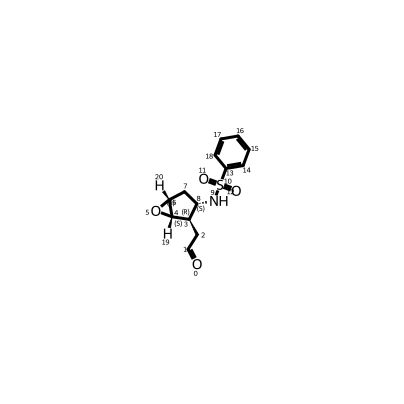 O=CC[C@H]1[C@@H]2O[C@@H]2C[C@@H]1NS(=O)(=O)c1ccccc1